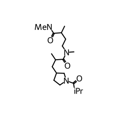 CNC(=O)C(C)CCN(C)C(=O)C(C)CC1CCN(C(=O)C(C)C)C1